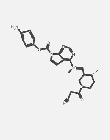 C[C@@H]1CCN(C(=O)CC#N)CC1/C=[N+](\C)c1ncnc2c1ccn2C(=S)Oc1ccc(N)cc1